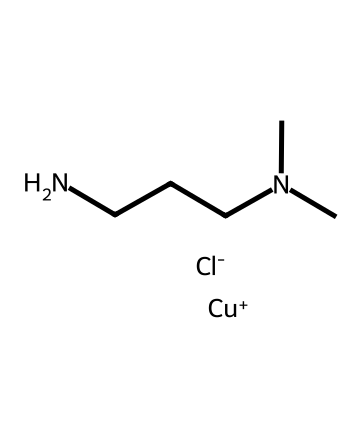 CN(C)CCCN.[Cl-].[Cu+]